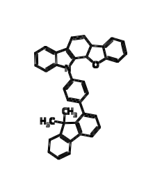 CC1(C)C2=C(C=CCC2)c2cccc(-c3ccc(-n4c5c(c6ccccc64)C=CC4c6ccccc6OC54)cc3)c21